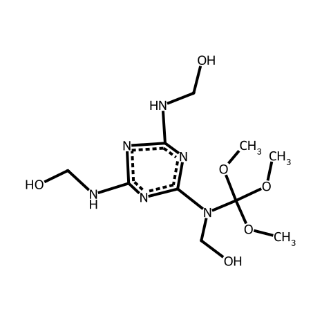 COC(OC)(OC)N(CO)c1nc(NCO)nc(NCO)n1